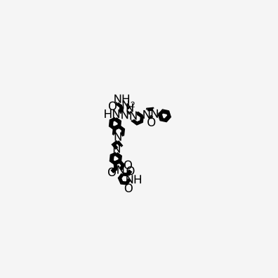 NC(=O)c1nnc(N2CCCC(N3CCN(c4ccccc4)C3=O)C2)nc1Nc1ccc2c(c1)CCN(C1CN(c3ccc4c(c3)C(=O)N(C3CCC(=O)NC3=O)C4=O)C1)C2